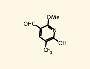 COc1nc(O)c(C(F)(F)F)cc1C=O